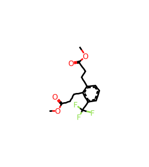 COC(=O)CCc1cccc(C(F)(F)F)c1CCC(=O)OC